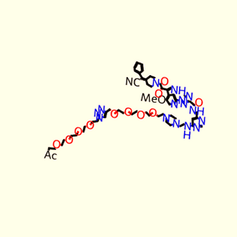 COc1cnc(-n2cnc(C(=O)NCc3cc(NCCN4CCN(CCOCCOCCOCCOCc5cn(CCOCCOCCOCCOCCC(C)=O)nn5)CC4)ncn3)n2)c2[nH]cc(C(=O)C(=O)N3CCC(=C(C#N)c4ccccc4)CC3)c12